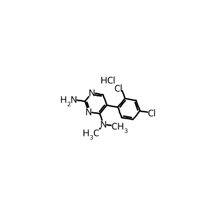 CN(C)c1nc(N)ncc1-c1ccc(Cl)cc1Cl.Cl